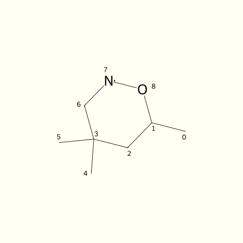 CC1CC(C)(C)C[N]O1